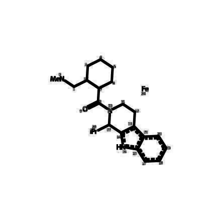 CNCC1CCCCC1C(=O)N1CCc2c([nH]c3ccccc23)C1C(C)C.[Fe]